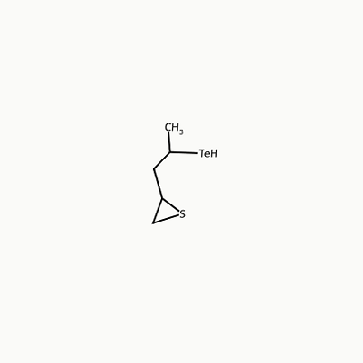 CC([TeH])CC1CS1